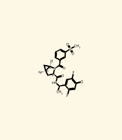 CC(NC(=O)[C@H]1C[C@H]2C[C@H]2N1C(=O)c1cccc(S(C)(=O)=O)c1)c1cc(F)c(Cl)cc1F